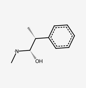 C[N][C@@H](O)[C@H](C)c1ccccc1